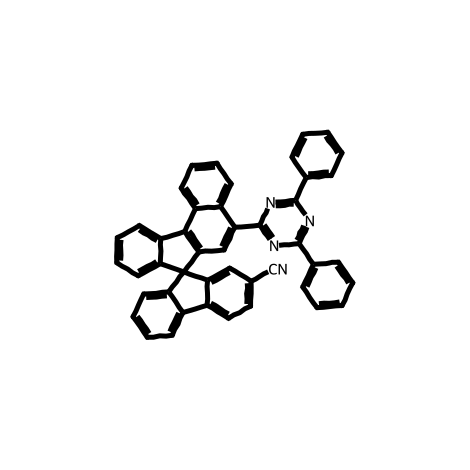 N#Cc1ccc2c(c1)C1(c3ccccc3-2)c2ccccc2-c2c1cc(-c1nc(-c3ccccc3)nc(-c3ccccc3)n1)c1ccccc21